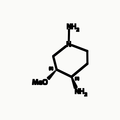 CO[C@@H]1CN(N)CC[C@H]1N